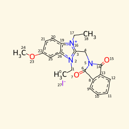 CCn1c(CN2C(=O)c3ccccc3C2=O)[n+](CC)c2ccc(OC)cc21.[I-]